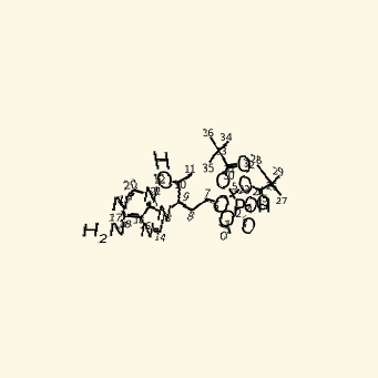 COP(=O)(O)C(OCCC(C(C)O)n1cnc2c(N)ncnc21)(OC(=O)C(C)(C)C)OC(=O)C(C)(C)C